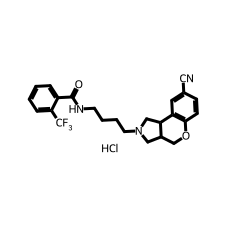 Cl.N#Cc1ccc2c(c1)C1CN(CCCCNC(=O)c3ccccc3C(F)(F)F)CC1CO2